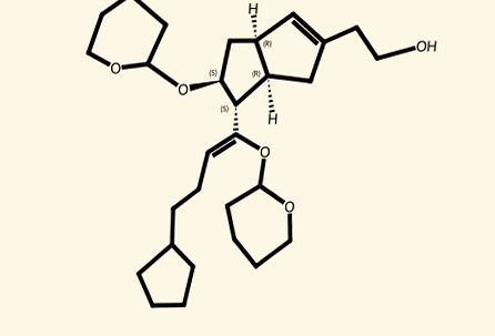 OCCC1=C[C@@H]2C[C@H](OC3CCCCO3)[C@@H](C(=CCCC3CCCC3)OC3CCCCO3)[C@@H]2C1